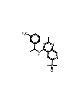 Cc1nc(NC(C)c2cccc(C(F)(F)F)c2)c2cc(P(C)(C)=O)ncc2n1